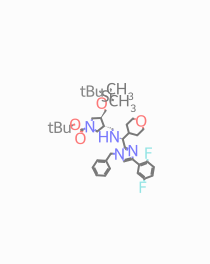 CC(C)(C)OC(=O)N1C[C@@H](CN[C@@H](c2nc(-c3cc(F)ccc3F)cn2Cc2ccccc2)C2CCOCC2)[C@H](CO[Si](C)(C)C(C)(C)C)C1